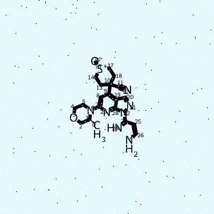 C[C@@H]1COCCN1c1cc(C2(C#N)CC[S+]([O-])CC2)c2cnn(C(=N)/C=C\N)c2n1